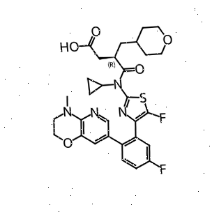 CN1CCOc2cc(-c3ccc(F)cc3-c3nc(N(C(=O)[C@@H](CC(=O)O)CC4CCOCC4)C4CC4)sc3F)cnc21